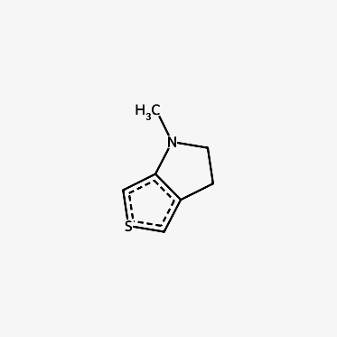 CN1CCc2cscc21